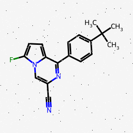 CC(C)(C)c1ccc(-c2nc(C#N)cn3c(F)ccc23)cc1